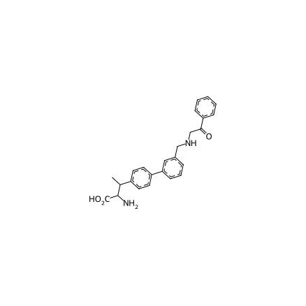 CC(c1ccc(-c2cccc(CNCC(=O)c3ccccc3)c2)cc1)C(N)C(=O)O